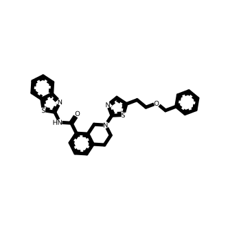 O=C(Nc1nc2ccccc2s1)c1cccc2c1CN(c1ncc(CCOCc3ccccc3)s1)CC2